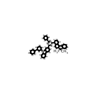 CC1(C)c2ccccc2-c2c1ccc1c(-c3nc(-c4ccccc4)nc(-c4ccc5c6ccccc6n(-c6cccc(-c7ccccc7)c6)c5c4)n3)cccc21